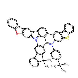 CC(C)(C)c1ccc(Nc2cc3sc4ccccc4c3cc2-c2ccc3c4cc5c(cc4n4c3c2Bc2cc3c(cc2-4)-c2ccccc2C3(C)C)oc2ccccc25)cc1